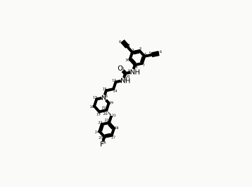 C#Cc1cc(C#C)cc(NC(=O)NCCCN2CCC[C@@H](Cc3ccc(F)cc3)C2)c1